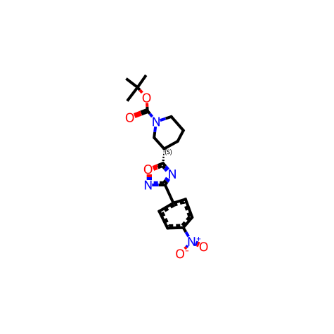 CC(C)(C)OC(=O)N1CCC[C@H](c2nc(-c3ccc([N+](=O)[O-])cc3)no2)C1